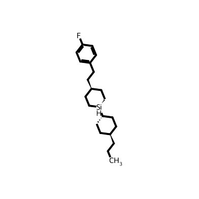 CCC[C@H]1CC[C@H]([Si@H]2CC[C@H](CCc3ccc(F)cc3)CC2)CC1